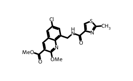 COC(=O)c1cc2cc(Cl)cc(CNC(=O)c3csc(C)n3)c2nc1OC